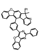 CC(C)C1(C)c2cc3oc4ccccc4c3c(-c3cccc(-c4nc(-c5ccccc5)nc5c4oc4ccccc45)c3)c2-c2cccnc21